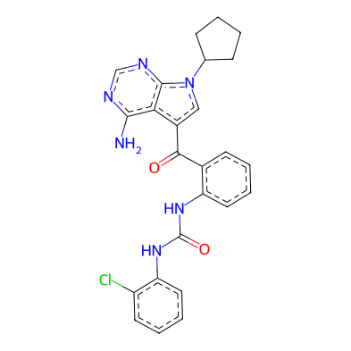 Nc1ncnc2c1c(C(=O)c1ccccc1NC(=O)Nc1ccccc1Cl)cn2C1CCCC1